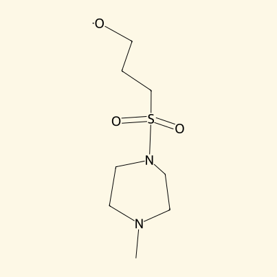 CN1CCN(S(=O)(=O)CCC[O])CC1